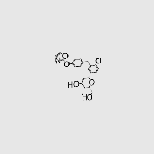 OC[C@@H]1CC(O)C[C@H](c2ccc(Cl)c(Cc3ccc(Oc4ncco4)cc3)c2)O1